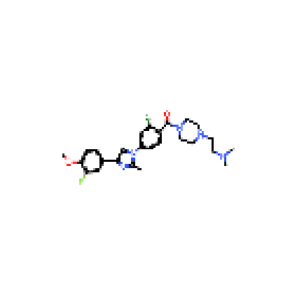 COc1ccc(-c2cn(-c3ccc(C(=O)N4CCN(CCN(C)C)CC4)c(Cl)c3)c(C)n2)cc1F